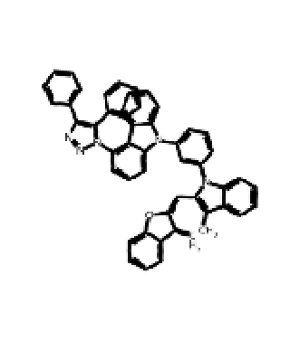 C=c1/c(=C\c2c(C)c3ccccc3n2-c2cccc(-n3c4ccccc4c4c(-n5nnc(-c6ccccc6)c5-c5ccccc5)cccc43)c2)oc2ccccc12